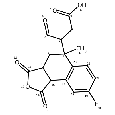 CC1(C(C=O)CC(=O)O)CC2C(=O)OC(=O)C2c2cc(F)ccc21